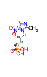 Cc1ncc([N+](=O)[O-])n1CCCOP(=O)(O)O